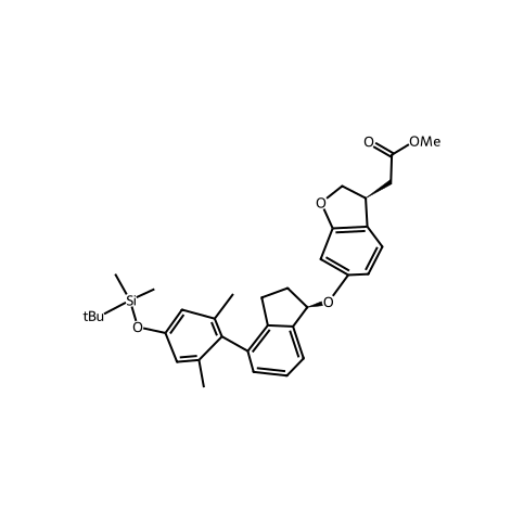 COC(=O)C[C@@H]1COc2cc(O[C@@H]3CCc4c(-c5c(C)cc(O[Si](C)(C)C(C)(C)C)cc5C)cccc43)ccc21